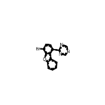 Brc1ccc(-c2ncncn2)c2c1oc1ccccc12